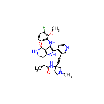 C=CC(=O)N[C@@]1(C#Cc2cnccc2-c2[nH]c3c(c2Nc2cccc(F)c2OC)C(=O)NCC3)CCN(C)C1